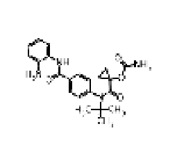 CC(C)(C)N(C(=O)C1(OC(N)=O)CC1)c1ccc(C(=O)Nc2ccccc2N)cc1